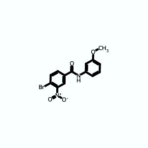 COc1cccc(NC(=O)c2ccc(Br)c([N+](=O)[O-])c2)c1